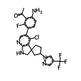 CC(=O)c1c(N)ccc(-c2cnc3c(c2Cl)C2(CCC(n4cc(C(F)(F)F)cn4)C2)CN3)c1F